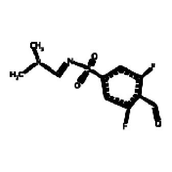 CN(C)/C=N/S(=O)(=O)c1cc(F)c(C=O)c(F)c1